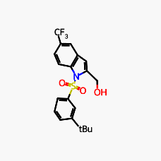 CC(C)(C)c1cccc(S(=O)(=O)n2c(CO)cc3cc(C(F)(F)F)ccc32)c1